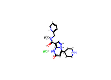 CN(Cc1ccccn1)C(=O)c1cnn2c(C3CCNCC3)cc(=O)[nH]c12.Cl